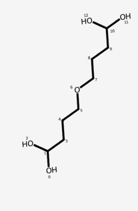 OC(O)CCCOCCCC(O)O